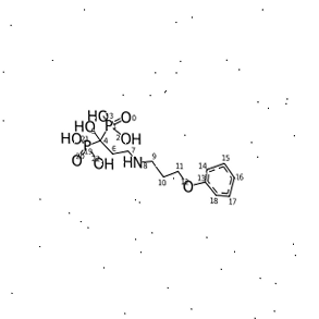 O=P(O)(O)C(O)(CCNCCCOc1ccccc1)P(=O)(O)O